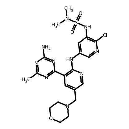 Cc1nc(N)nc(-c2cc(CN3CCOCC3)cnc2Nc2cnc(Cl)c(NS(=O)(=O)N(C)C)c2)n1